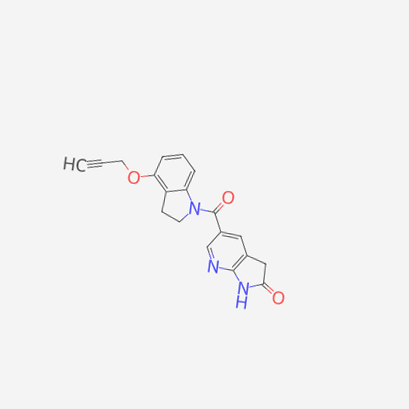 C#CCOc1cccc2c1CCN2C(=O)c1cnc2c(c1)CC(=O)N2